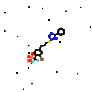 O=P(O)(O)C(F)(F)c1ccc(CCCSN2C=NC(c3ccccc3)N2)cc1Br